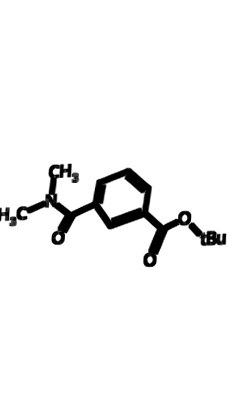 CN(C)C(=O)c1cccc(C(=O)OC(C)(C)C)c1